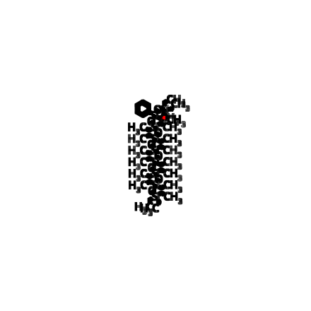 CC[Si](CC)(CC)O[Si](CC)(CC)O[Si](CC)(CC)O[Si](CC)(CC)O[Si](CC)(CC)O[Si](CC)(CC)O[Si](CC)(CC)O[Si](CC)(O[Si](CC)(CC)CC)c1ccccc1